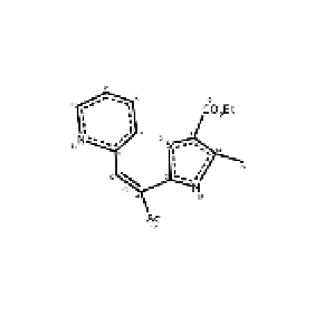 CCOC(=O)c1sc(/C(=C\c2ccccn2)C(C)=O)nc1C